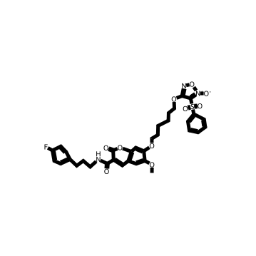 COc1cc2cc(C(=O)NCCCc3ccc(F)cc3)c(=O)oc2cc1OCCCCCCOc1no[n+]([O-])c1S(=O)(=O)c1ccccc1